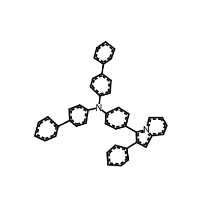 c1ccc(-c2ccc(N(c3ccc(-c4ccccc4)cc3)c3ccc(-c4c(-c5ccccc5)cc5ccccn45)cc3)cc2)cc1